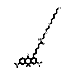 CN(C)c1ccc2c(c1)C(C)(C)c1cc(N(C)C)cc(/C=C/CCCC(=O)NCCOCCOCCCCCCCl)c1C2=O